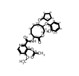 COc1ccnc(C(=O)N[C@H]2CCC[C@H](OC3CCCC3)[C@@H](Oc3ccccc3)[C@H](C)OC2=O)c1OC(C)=O